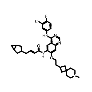 CN1CCC2(CC1)CC(CCOc1cc3ncnc(Nc4ccc(F)c(Cl)c4)c3cc1NC(=O)/C=C/CC1CC3CC3C1)C2